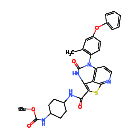 Cc1cc(Oc2ccccc2)ccc1N1C(=O)Nc2c(C(=O)NC3CCC(NC(=O)OC(C)(C)C)CC3)sc3nccc1c23